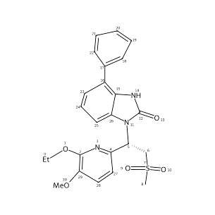 CCOc1nc([C@@H](CS(C)(=O)=O)n2c(=O)[nH]c3c(-c4ccccc4)cccc32)ccc1OC